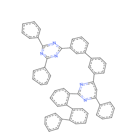 c1ccc(-c2cc(-c3cccc(-c4cccc(-c5nc(-c6ccccc6)nc(-c6ccccc6)n5)c4)c3)nc(-c3ccccc3-c3ccccc3-c3ccccc3)n2)cc1